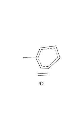 C=C.Cc1ccccc1.[O]